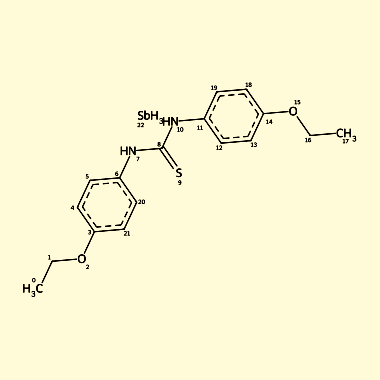 CCOc1ccc(NC(=S)Nc2ccc(OCC)cc2)cc1.[SbH3]